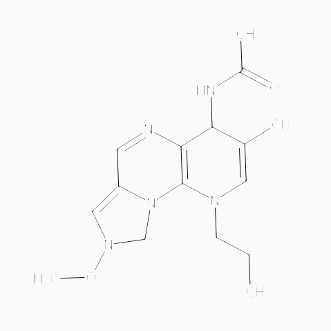 CCCN1C=C(C)C(NC(C)=O)C2=C1N1CN(OC)C=C1C=N2